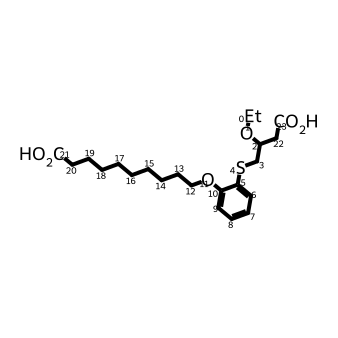 CCOC(CSc1ccccc1OCCCCCCCCCC(=O)O)CC(=O)O